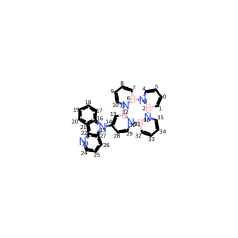 C1=CB2N(C=C1)B1C=CC=CN1B1C=C(n3c4ccccc4c4ncccc43)C=CN1B1C=CC=CN21